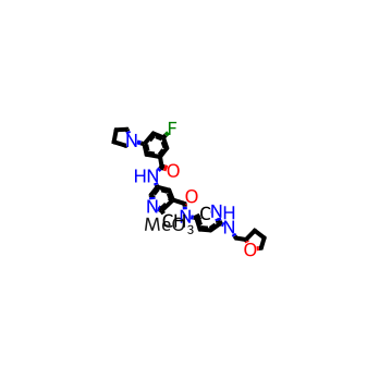 CON(C(=O)c1cc(NC(=O)c2cc(F)cc(N3CCCC3)c2)cnc1C)c1ccc(NCC2CCCO2)nc1